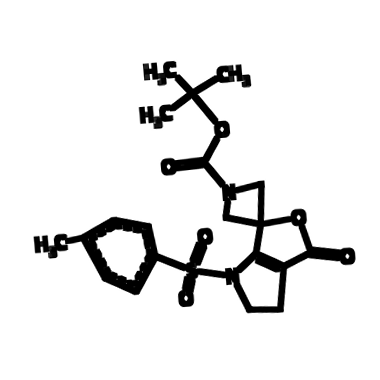 Cc1ccc(S(=O)(=O)N2CCC3=C2C2(CN(C(=O)OC(C)(C)C)C2)OC3=O)cc1